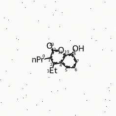 CCCc1c(CC)c2cccc(O)c2oc1=O